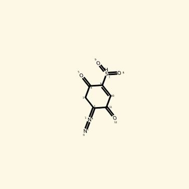 [N-]=[N+]=C1CC(=O)C([SH](=O)=O)=CC1=O